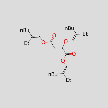 CCCCC(=COC(=O)CC(OC=C(CC)CCCC)C(=O)OC=C(CC)CCCC)CC